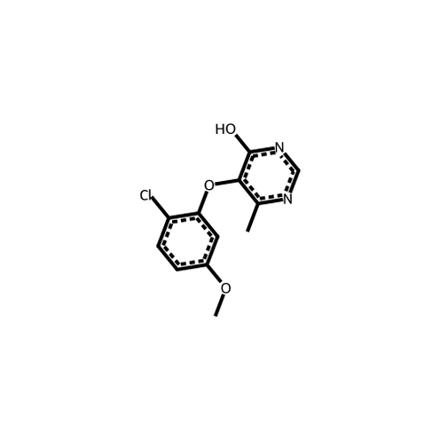 COc1ccc(Cl)c(Oc2c(C)ncnc2O)c1